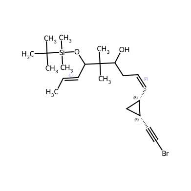 C/C=C/C(O[Si](C)(C)C(C)(C)C)C(C)(C)C(O)C/C=C\[C@H]1C[C@H]1C#CBr